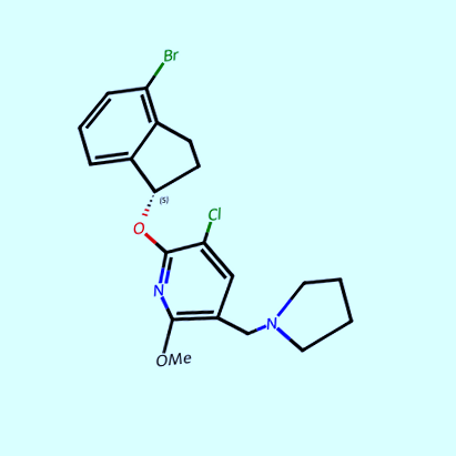 COc1nc(O[C@H]2CCc3c(Br)cccc32)c(Cl)cc1CN1CCCC1